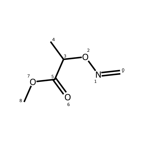 [CH]=NOC(C)C(=O)OC